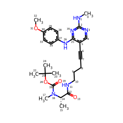 CNc1ncc(C#CCCCNC(=O)[C@H](C)N(C)C(=O)OC(C)(C)C)c(Nc2ccc(OC)cc2)n1